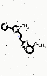 COc1cccn2nc(/C=C/c3nc(-c4cccs4)cn3C)nc12